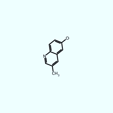 Cc1cnc2ccc([O])cc2c1